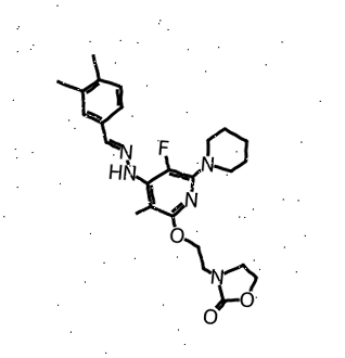 Cc1ccc(/C=N/Nc2c(C)c(OCCN3CCOC3=O)nc(N3CCCCC3)c2F)cc1C